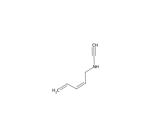 C#CNC/C=C\C=C